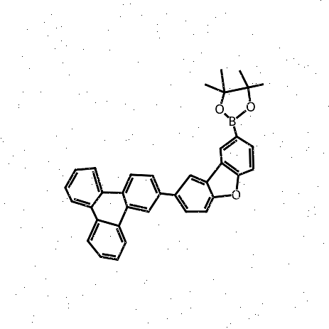 CC1(C)OB(c2ccc3oc4ccc(-c5ccc6c7ccccc7c7ccccc7c6c5)cc4c3c2)OC1(C)C